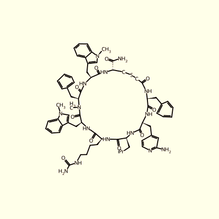 CC(C)C[C@@H]1NC(=O)[C@H](Cc2ccnc(N)c2)NC(=O)[C@H](Cc2ccccc2)NC(=O)CSC[C@@H](C(N)=O)NC(=O)[C@H](Cc2cn(C)c3ccccc23)NC(=O)[C@H](Cc2ccccc2)N(C)C(=O)[C@H](Cc2cn(C)c3ccccc23)NC(=O)[C@H](CCCCNC(N)=O)NC1=O